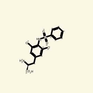 N[C@@H](Cc1cc(Cl)c(NS(=O)(=O)c2ccccc2)c(Cl)c1)C(=O)O